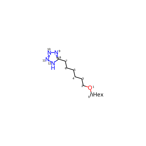 CCCCCCOCCCCCCc1nnn[nH]1